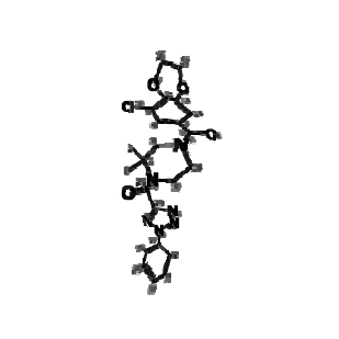 CC1(C)CN(C(=O)c2cc(Cl)c3c(c2)OCCO3)CCN1C(=O)c1nnn(-c2ccccc2)n1